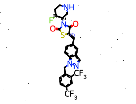 O=C1S/C(=C\c2ccc3c(cnn3Cc3ccc(C(F)(F)F)cc3C(F)(F)F)c2)C(=O)N1[C@H]1CNCC[C@H]1F